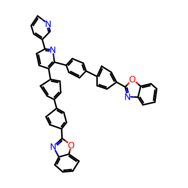 c1cncc(-c2ccc(-c3ccc(-c4ccc(-c5nc6ccccc6o5)cc4)cc3)c(-c3ccc(-c4ccc(-c5nc6ccccc6o5)cc4)cc3)n2)c1